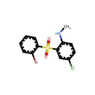 CNc1ccc(Cl)cc1S(=O)(=O)c1ccccc1Br